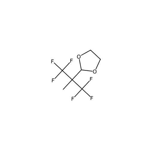 CC(C1OCCO1)(C(F)(F)F)C(F)(F)F